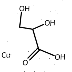 O=C(O)C(O)CO.[Cu]